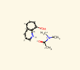 CC(=O)N(C)C.Oc1cccc2cccnc12